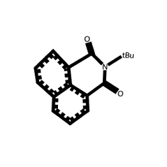 CC(C)(C)N1C(=O)c2cccc3cccc(c23)C1=O